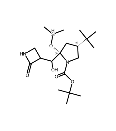 C[SiH](C)O[C@]1(C(O)C2CNC2=O)C[C@H](C(C)(C)C)CN1C(=O)OC(C)(C)C